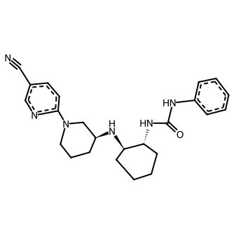 N#Cc1ccc(N2CCC[C@H](N[C@@H]3CCCC[C@H]3NC(=O)Nc3ccccc3)C2)nc1